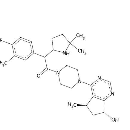 C[C@@H]1C[C@@H](O)c2ncnc(N3CCN(C(=O)C(c4ccc(F)c(C(F)(F)F)c4)C4CCC(C)(C)N4)CC3)c21